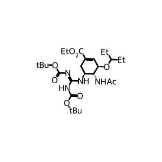 CCOC(=O)C1=C[C@@H](OC(CC)CC)[C@H](NC(C)=O)[C@@H](NC(=NC(=O)OC(C)(C)C)NC(=O)OC(C)(C)C)C1